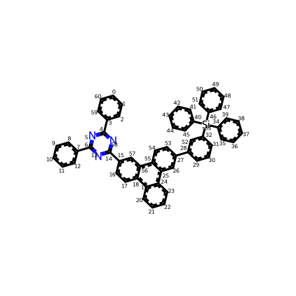 c1ccc(-c2nc(-c3ccccc3)nc(-c3ccc4c5ccccc5c5cc(-c6cccc([Si](c7ccccc7)(c7ccccc7)c7ccccc7)c6)ccc5c4c3)n2)cc1